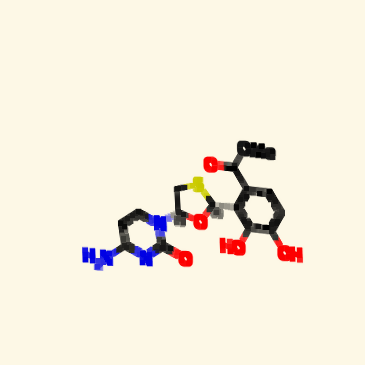 COC(=O)c1ccc(O)c(O)c1[C@@H]1O[C@H](n2ccc(N)nc2=O)CS1